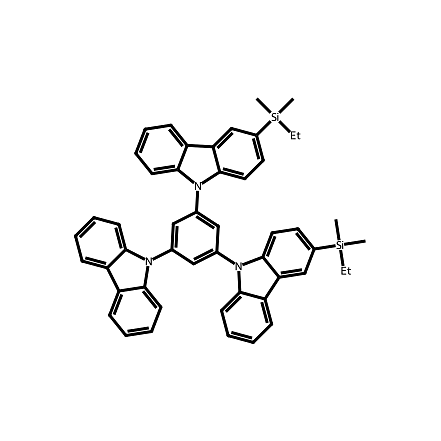 CC[Si](C)(C)c1ccc2c(c1)c1ccccc1n2-c1cc(-n2c3ccccc3c3ccccc32)cc(-n2c3ccccc3c3cc([Si](C)(C)CC)ccc32)c1